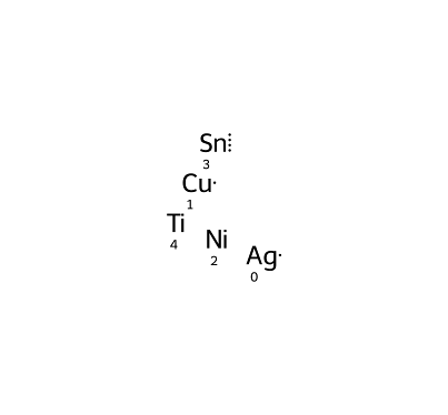 [Ag].[Cu].[Ni].[Sn].[Ti]